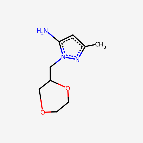 Cc1cc(N)n(CC2COCCO2)n1